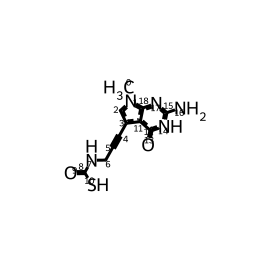 Cn1cc(C#CCNC(=O)S)c2c(=O)[nH]c(N)nc21